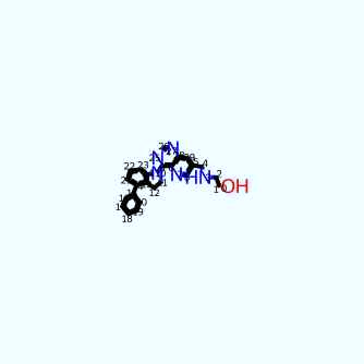 OCCNCc1cnc2c(N3CCc4c(-c5ccccc5)cccc43)ncnc2c1